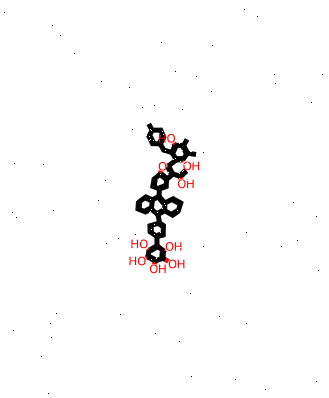 C=C(O)c1c(-c2c(O)c(C)c(C)c(O)c2CC2=CCC(C)C=C2)oc2ccc(-c3c4ccccc4c(-c4ccc(-c5c(O)c(O)c(O)c(O)c5O)cc4)c4ccccc34)cc12